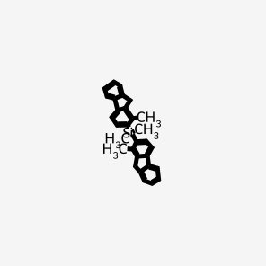 Cc1c([Si](C)(C)c2ccc3c(c2C)Cc2ccccc2-3)ccc2c1Cc1ccccc1-2